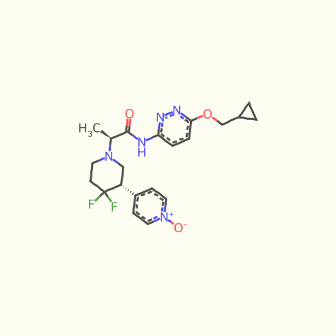 C[C@@H](C(=O)Nc1ccc(OCC2CC2)nn1)N1CCC(F)(F)[C@@H](c2cc[n+]([O-])cc2)C1